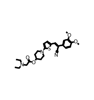 CCN(CC)CC(=O)OC1CCN(c2ccc(C=C(C#N)c3ccc(OC)c(OC)c3)s2)CC1